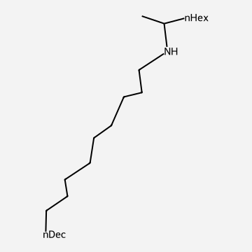 CCCCCCCCCCCCCCCCCCCNC(C)CCCCCC